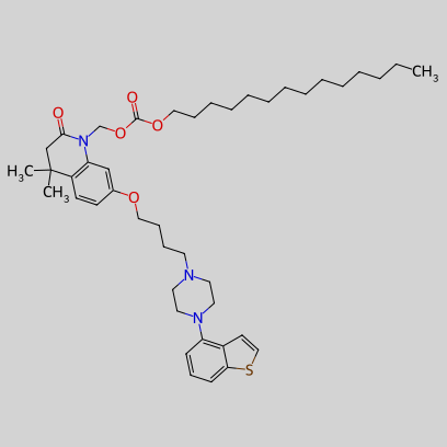 CCCCCCCCCCCCCCOC(=O)OCN1C(=O)CC(C)(C)c2ccc(OCCCCN3CCN(c4cccc5sccc45)CC3)cc21